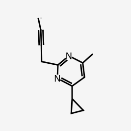 [CH2]C#CCc1nc(C)cc(C2CC2)n1